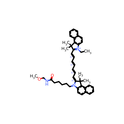 CC[N+]1=C(/C=C/C=C/C=C/C=C2/N(CCCCCC(=O)NCOC)c3ccc4ccccc4c3C2(C)C)C(C)(C)c2c1ccc1ccccc21